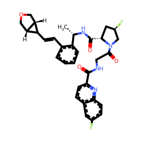 C[C@H](NC(=O)[C@@H]1C[C@@H](F)CN1C(=O)CNC(=O)c1ccc2cc(F)ccc2n1)c1ccccc1/C=C/C1[C@H]2COC[C@@H]12